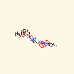 CC(=O)NC[C@H]1CN(c2ccc(-c3ccc(CNCC(=O)N4CCC(C(=O)OC(C)(C)C)CC4)cc3)c(F)c2)C(=O)O1